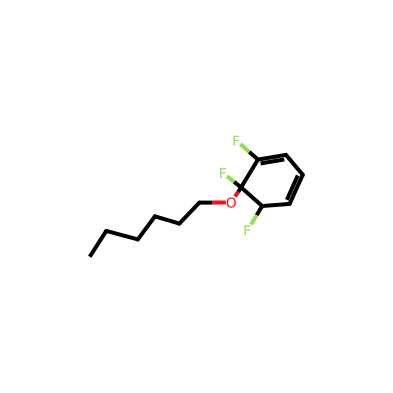 CCCCCCOC1(F)C(F)=CC=CC1F